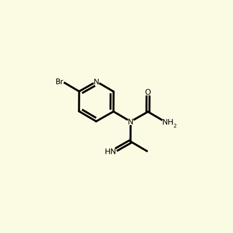 CC(=N)N(C(N)=O)c1ccc(Br)nc1